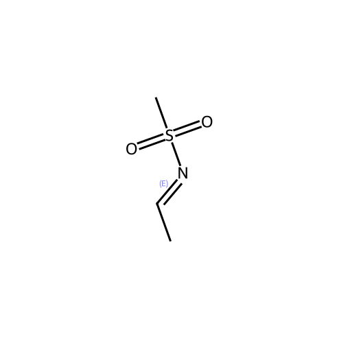 C/C=N/S(C)(=O)=O